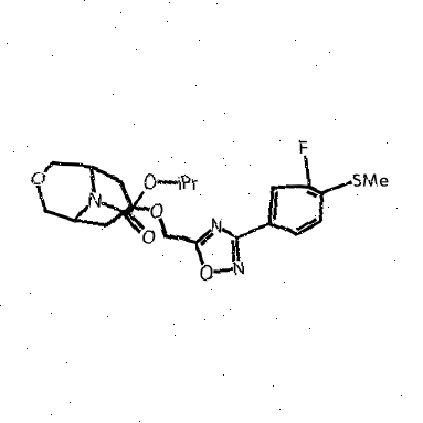 CSc1ccc(-c2noc(COC3CC4COCC(C3)N4C(=O)OC(C)C)n2)cc1F